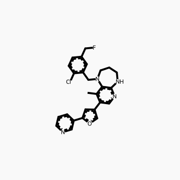 Cc1c(-c2coc(-c3cccnc3)c2)cnc2c1N(Cc1cc(CF)ccc1Cl)CCCN2